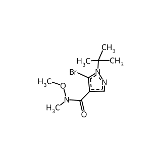 CON(C)C(=O)c1cnn(C(C)(C)C)c1Br